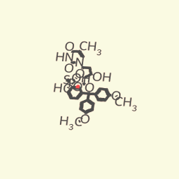 COc1ccc(C(OC(OP(O)(O)=S)[C@H]2O[C@@H](n3cc(C)c(=O)[nH]c3=O)C[C@@H]2O)(c2ccccc2)c2ccc(OC)cc2)cc1